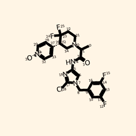 CC(C(=O)Nc1cn(Cc2cc(F)cc(F)c2)c(Cl)n1)N1CCC(F)(F)[C@@H](c2cc[n+]([O-])cc2)C1